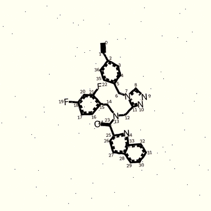 C#Cc1ccc(Cn2cnnc2CN(Cc2ccc(F)cc2F)C(=O)c2ccc3ccccc3n2)cc1